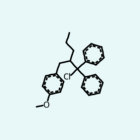 CCCC(Cc1ccc(OC)cc1)C(Cl)(c1ccccc1)c1ccccc1